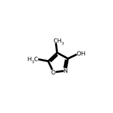 Cc1onc(O)c1C